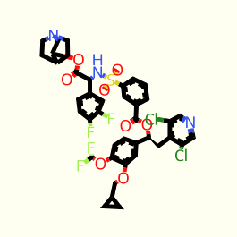 O=C(O[C@@H](Cc1c(Cl)cncc1Cl)c1ccc(OC(F)F)c(OCC2CC2)c1)c1cccc(S(=O)(=O)NC(C(=O)OC2CN3CCC2CC3)c2ccc(F)c(F)c2)c1